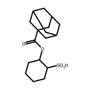 O=C(OC1CCCCC1S(=O)(=O)O)C12CC3CC(CC(C3)C1)C2